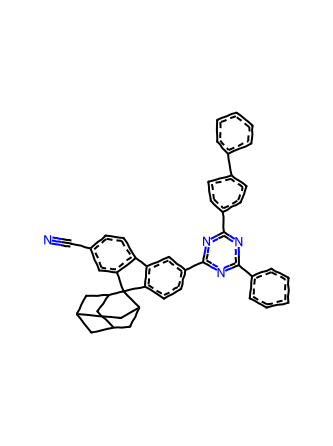 N#Cc1ccc2c(c1)C1(c3ccc(-c4nc(-c5ccccc5)nc(-c5ccc(-c6ccccc6)cc5)n4)cc3-2)C2CC3CC(C2)CC1C3